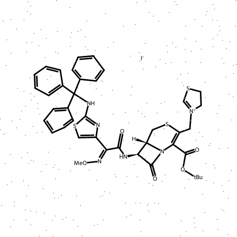 CON=C(C(=O)N[C@@H]1C(=O)N2C(C(=O)OC(C)(C)C)=C(C[N+]3=CSCC3)SC[C@@H]12)c1csc(NC(c2ccccc2)(c2ccccc2)c2ccccc2)n1.[I-]